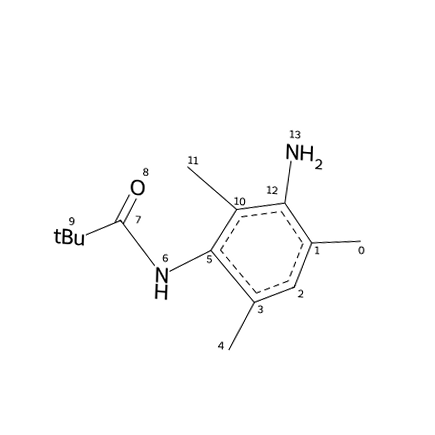 Cc1cc(C)c(NC(=O)C(C)(C)C)c(C)c1N